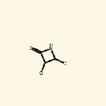 O=C1NC(Cl)C1Cl